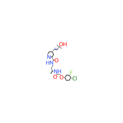 C=C(CCNC(=O)c1cc(/C=C/C(C)(C)O)ccn1)NC(=O)COc1ccc(Cl)c(F)c1